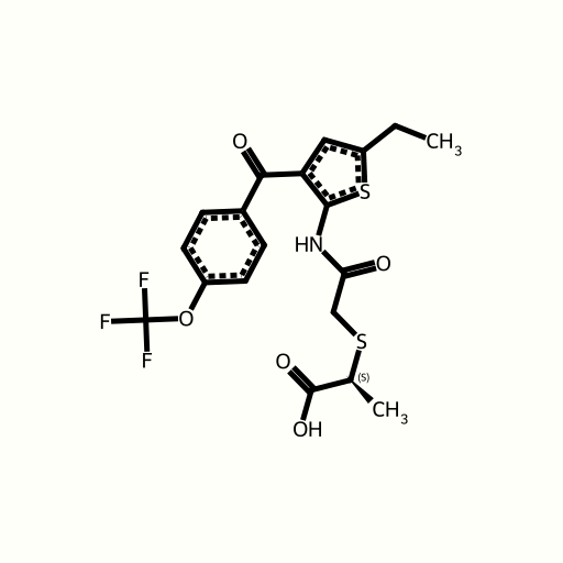 CCc1cc(C(=O)c2ccc(OC(F)(F)F)cc2)c(NC(=O)CS[C@@H](C)C(=O)O)s1